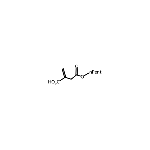 C=C(CC(=O)OCCCCC)C(=O)O